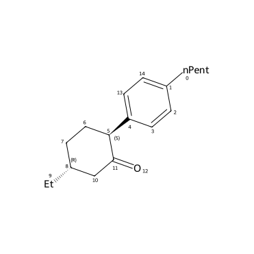 CCCCCc1ccc([C@@H]2CC[C@@H](CC)CC2=O)cc1